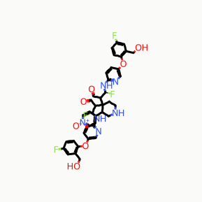 O=CC([C@H](F)Nc1ccc(Oc2ccc(F)cc2CO)cn1)C1(C(C=O)[C@H](F)Nc2ccc(Oc3ccc(F)cc3CO)cn2)CCNCC1c1cc[n+]([O-])cc1